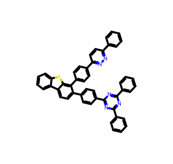 c1ccc(-c2ccc(-c3ccc(-c4c(-c5ccc(-c6nc(-c7ccccc7)nc(-c7ccccc7)n6)cc5)ccc5c4sc4ccccc45)cc3)nn2)cc1